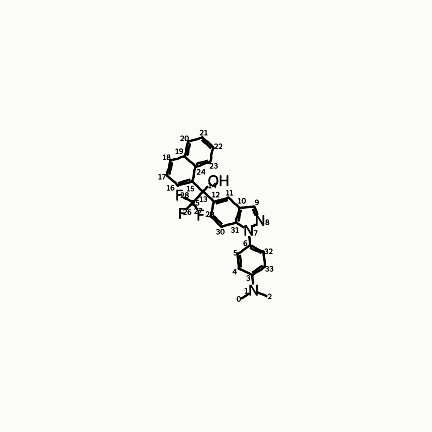 CN(C)c1ccc(-n2ncc3cc(C(O)(c4cccc5ccccc45)C(F)(F)F)ccc32)cc1